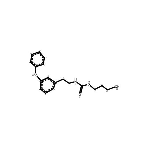 O=C(NCCc1cccc(Oc2ccccc2)c1)OCCCO